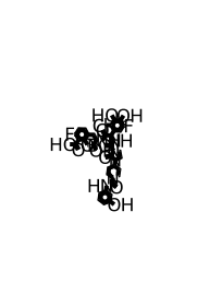 O=C(O)c1c(F)ccc2c1OB(O)[C@@H](NC(=O)C(NC(=O)N1CCN(C3CCN(C(=O)Nc4cccc(O)c4)CC3)C1=O)c1cc(F)c(O)c(O)c1Cl)C2